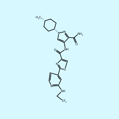 C[C@H]1CC[C@@H](n2cc(NC(=O)c3coc(-c4ccnc(NCC(F)(F)F)c4)n3)c(C(N)=O)n2)CC1